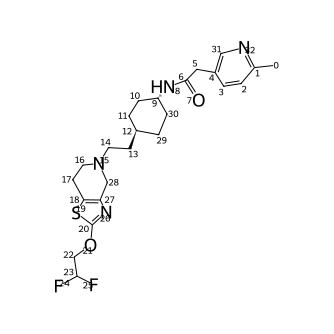 Cc1ccc(CC(=O)N[C@H]2CC[C@H](CCN3CCc4sc(OCC(F)F)nc4C3)CC2)cn1